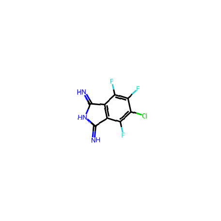 N=C1NC(=N)c2c(F)c(Cl)c(F)c(F)c21